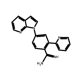 N=C(N)c1ccc(-n2ccc3cccnc32)cc1-c1ccccn1